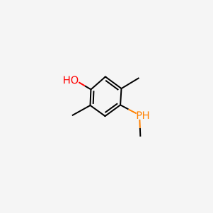 CPc1cc(C)c(O)cc1C